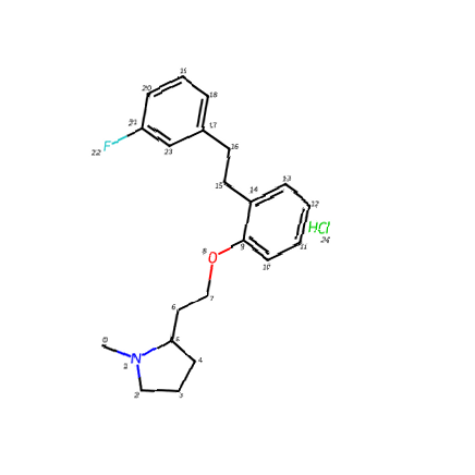 CN1CCCC1CCOc1ccccc1CCc1cccc(F)c1.Cl